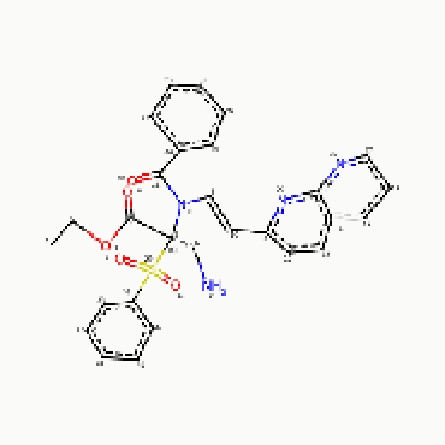 CCOC(=O)[C@@](CN)(N(C=Cc1ccc2cccnc2n1)C(=O)c1ccccc1)S(=O)(=O)c1ccccc1